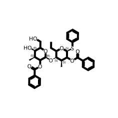 CCC1O[C@@H](Sc2ccccc2)C(OC(=O)c2ccccc2)[C@@H](C)[C@@H]1O[C@@H]1OC(CO)[C@H](O)[C@H](C)C1OC(=O)c1ccccc1